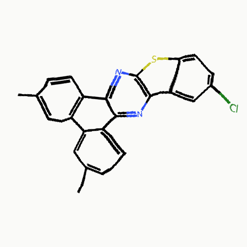 Cc1ccc2c(c1)c1cc(C)ccc1c1nc3c(nc21)sc1ccc(Cl)cc13